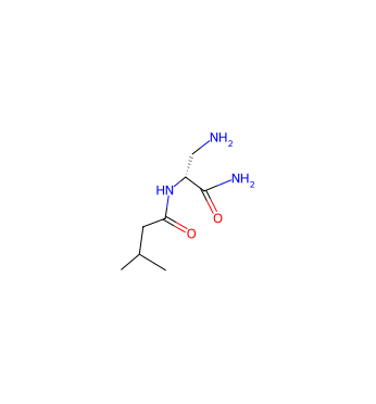 CC(C)CC(=O)N[C@H](CN)C(N)=O